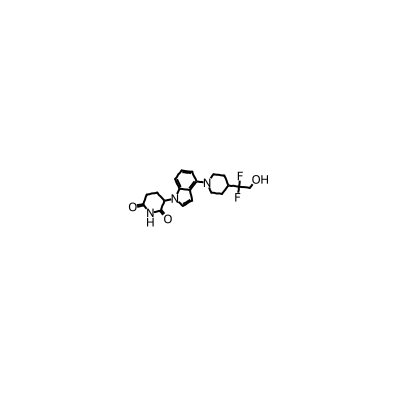 O=C1CCC(n2ccc3c(N4CCC(C(F)(F)CO)CC4)cccc32)C(=O)N1